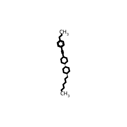 CCCCCCC[C@H]1CC[C@H](C2CCC(C#Cc3ccc(CCC)cc3)CC2)CC1